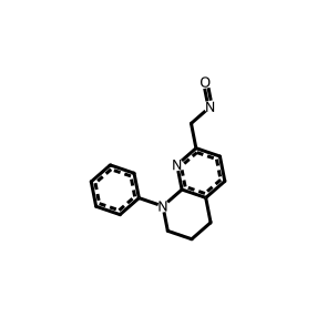 O=NCc1ccc2c(n1)N(c1ccccc1)CCC2